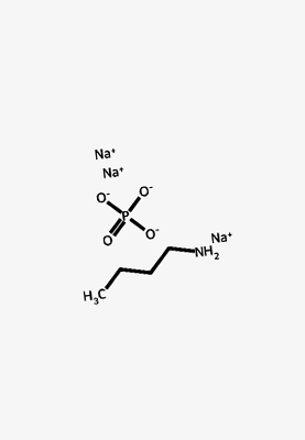 CCCCN.O=P([O-])([O-])[O-].[Na+].[Na+].[Na+]